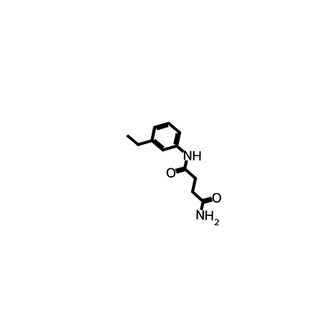 CCc1cccc(NC(=O)CCC(N)=O)c1